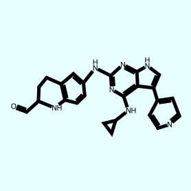 O=CC1CCc2cc(Nc3nc(NC4CC4)c4c(-c5ccncc5)c[nH]c4n3)ccc2N1